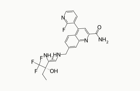 CC[C@](O)(/C(N)=C/NCc1ccc2c(-c3cccnc3F)cc(C(N)=O)nc2c1)C(F)(F)F